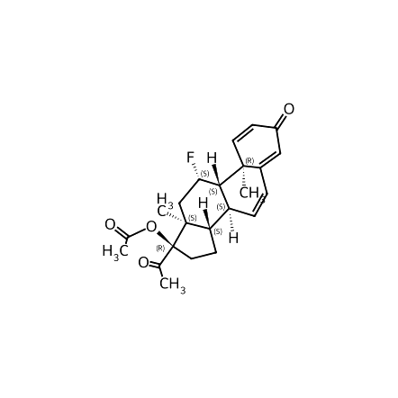 CC(=O)O[C@]1(C(C)=O)CC[C@H]2[C@@H]3C=CC4=CC(=O)C=C[C@]4(C)[C@H]3[C@@H](F)C[C@@]21C